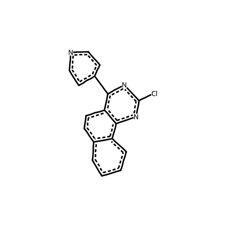 Clc1nc(-c2ccncc2)c2ccc3ccccc3c2n1